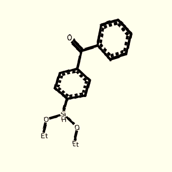 CCO[SiH](OCC)c1ccc(C(=O)c2ccccc2)cc1